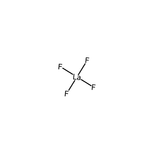 [F][La]([F])([F])[F]